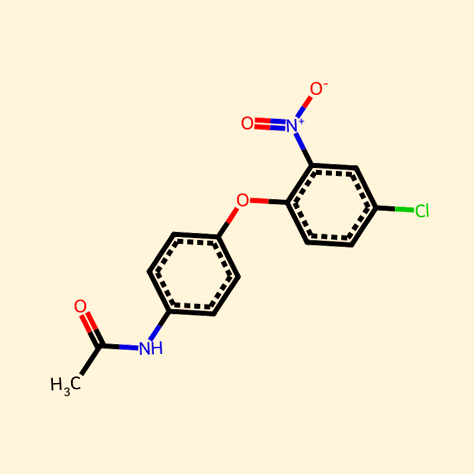 CC(=O)Nc1ccc(Oc2ccc(Cl)cc2[N+](=O)[O-])cc1